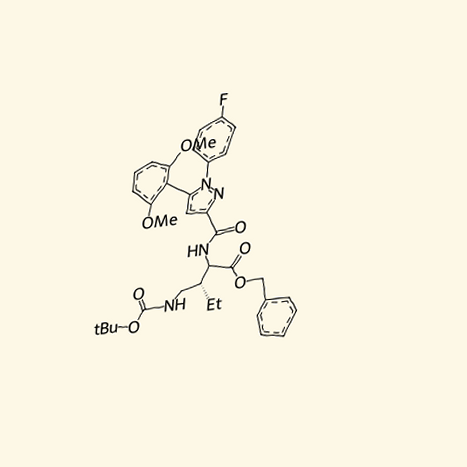 CC[C@H](CNC(=O)OC(C)(C)C)C(NC(=O)c1cc(-c2c(OC)cccc2OC)n(-c2ccc(F)cc2)n1)C(=O)OCc1ccccc1